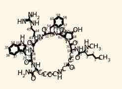 CCCC[C@H](NC)C(=O)N[C@H]1CCC(=O)CNCCCC[C@@H](C(N)=O)NC(=O)[C@H](Cc2c[nH]c3ccccc23)NC(=O)[C@H](CCCNC(=N)N)NC(=O)[C@@H](Cc2ccccc2)NC(=O)[C@@H]2C[C@@H](O)CN2C1=O